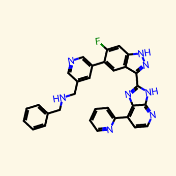 Fc1cc2[nH]nc(-c3nc4c(-c5ccccn5)ccnc4[nH]3)c2cc1-c1cncc(CNCc2ccccc2)c1